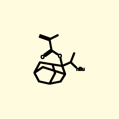 C=C(C)C(=O)OC1(C(C)CCCC)C2CC3CC(C2)CC1C3